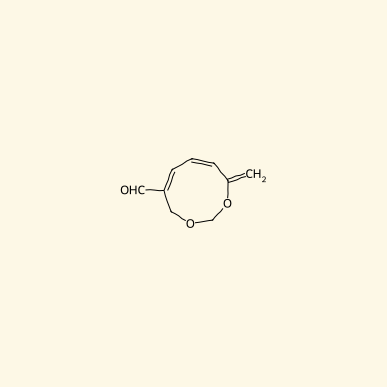 C=C1/C=C\C=C(\C=O)COCO1